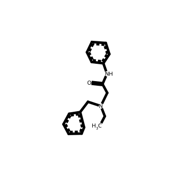 CCN(CC(=O)Nc1ccccc1)Cc1ccccc1